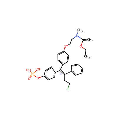 C=C(OCC)N(C)CCOc1ccc(/C(=C(/CCCl)c2ccccc2)c2ccc(OP(=O)(O)O)cc2)cc1